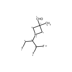 CC1(C=O)CN(C(CF)C(F)F)C1